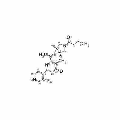 CCCC(=O)N1C[C@@H]2[C@H](C1)[C@H]2N(C)c1nc(-c2ccncc2F)cc(=O)n1C